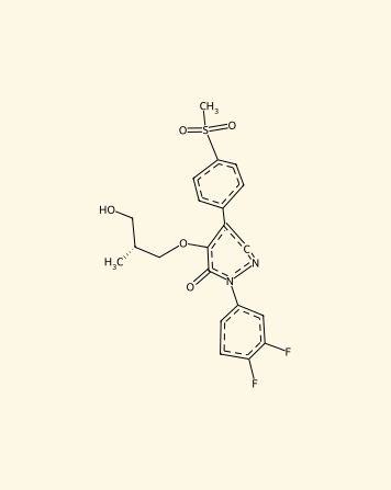 C[C@H](CO)COc1c(-c2ccc(S(C)(=O)=O)cc2)cnn(-c2ccc(F)c(F)c2)c1=O